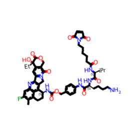 CC[C@@]1(O)C(=O)OCc2c1cc1n(c2=O)Cc2c-1nc1cc(F)c(C)c3c1c2[C@@H](NC(=O)OCc1ccc(NC(=O)[C@H](CCCCN)NC(=O)[C@@H](NC(=O)CCCCCN2C(=O)C=CC2=O)C(C)C)cc1)CC3